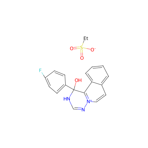 CCS(=O)(=O)[O-].OC1(c2ccc(F)cc2)NC=N[n+]2ccc3ccccc3c21